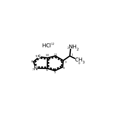 CC(N)c1ccc2ncsc2c1.Cl